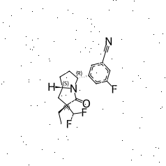 CC[C@@]1(C(F)F)C[C@@H]2CC[C@H](c3cc(F)cc(C#N)c3)N2C1=O